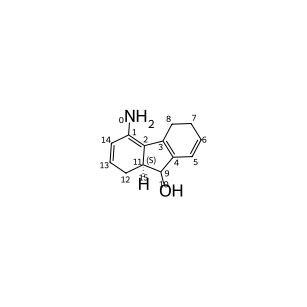 NC1=C2C3=C(C=CCC3)C(O)[C@H]2CC=C1